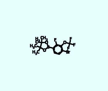 CC1(C)OB(c2ccc(Br)c(OC(F)(F)F)c2F)OC1(C)C